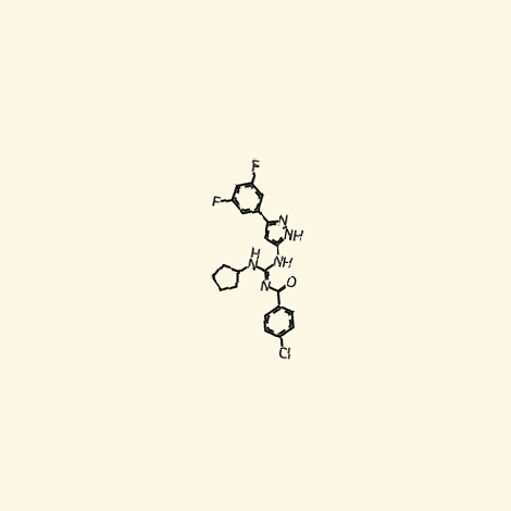 O=C(/N=C(\Nc1cc(-c2cc(F)cc(F)c2)n[nH]1)NC1CCCC1)c1ccc(Cl)cc1